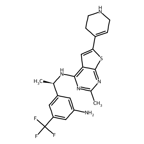 Cc1nc(N[C@H](C)c2cc(N)cc(C(F)(F)F)c2)c2cc(C3=CCNCC3)sc2n1